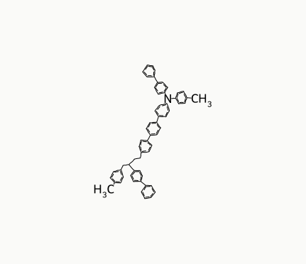 Cc1ccc(CC(CCc2ccc(-c3ccc(-c4ccc(N(c5ccc(C)cc5)c5ccc(-c6ccccc6)cc5)cc4)cc3)cc2)c2ccc(-c3ccccc3)cc2)cc1